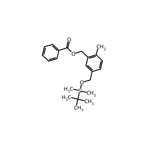 [CH2]c1ccc(CO[Si](C)(C)C(C)(C)C)cc1COC(=O)c1ccccc1